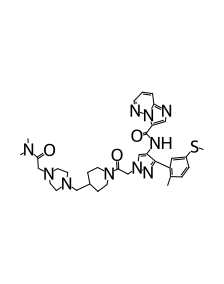 CSc1ccc(C)c(-c2nn(CC(=O)N3CCC(CN4CCN(CC(=O)N(C)C)CC4)CC3)cc2NC(=O)c2cnc3cccnn23)c1